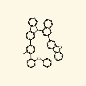 Cc1cc(-c2ccc3c(c2)C(c2cc(-c4ccc5c(c4)oc4ccccc45)cc4ccccc24)c2ccccc2-3)ccc1-c1ccccc1Oc1ccccc1